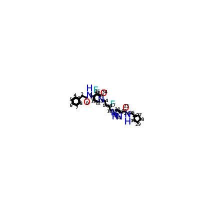 O=C(Cc1ccccc1)Nc1ccn(CCC(F)Cn2cc(C(=O)NCC3CCCC3)nn2)c(=O)c1F